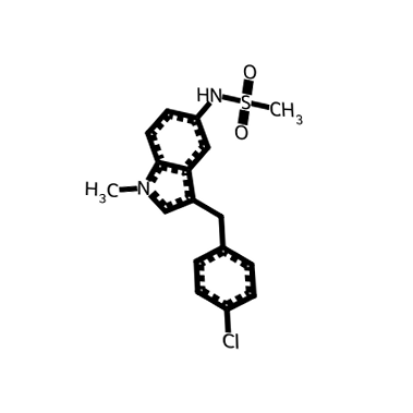 Cn1cc(Cc2ccc(Cl)cc2)c2cc(NS(C)(=O)=O)ccc21